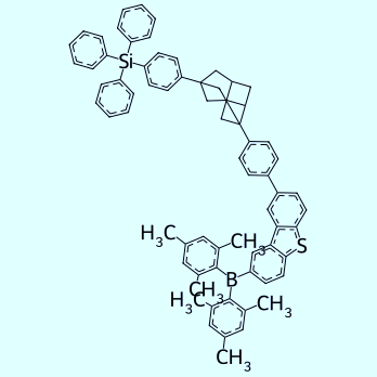 Cc1cc(C)c(B(c2ccc3sc4ccc(-c5ccc(C67CC8(c9ccc([Si](c%10ccccc%10)(c%10ccccc%10)c%10ccccc%10)cc9)CC9CC6C9(C8)C7)cc5)cc4c3c2)c2c(C)cc(C)cc2C)c(C)c1